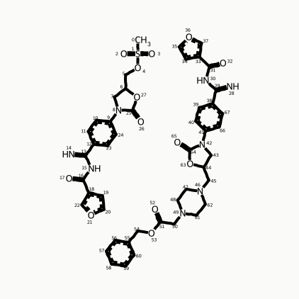 CS(=O)(=O)OCC1CN(c2ccc(C(=N)NC(=O)c3ccoc3)cc2)C(=O)O1.N=C(NC(=O)c1ccoc1)c1ccc(N2CC(CN3CCN(CC(=O)OCc4ccccc4)CC3)OC2=O)cc1